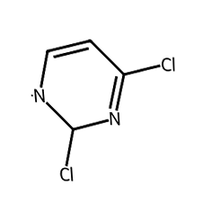 ClC1=NC(Cl)[N]C=C1